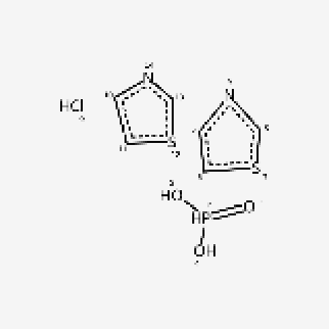 Cl.O=[PH](O)O.c1cscn1.c1cscn1